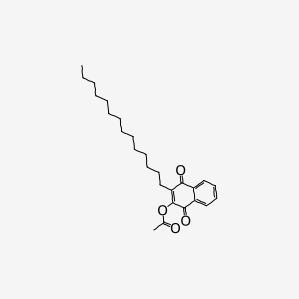 CCCCCCCCCCCCCCC1=C(OC(C)=O)C(=O)c2ccccc2C1=O